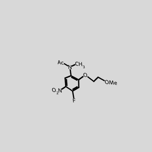 COCCOc1cc(F)c([N+](=O)[O-])cc1N(C)C(C)=O